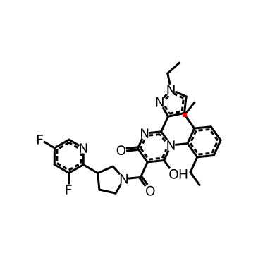 CCc1cccc(CC)c1-n1c(-c2ccn(CC)n2)nc(=O)c(C(=O)N2CCC(c3ncc(F)cc3F)C2)c1O